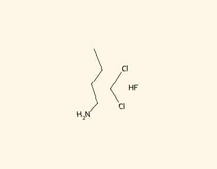 CCCCN.ClCCl.F